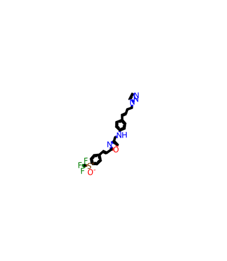 [O-][S+](c1ccc(/C=C/c2nc(CNc3ccc(/C=C/CCn4ccnn4)cc3)co2)cc1)C(F)(F)F